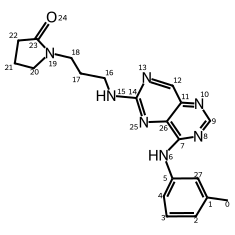 Cc1cccc(Nc2ncnc3cnc(NCCCN4CCCC4=O)nc23)c1